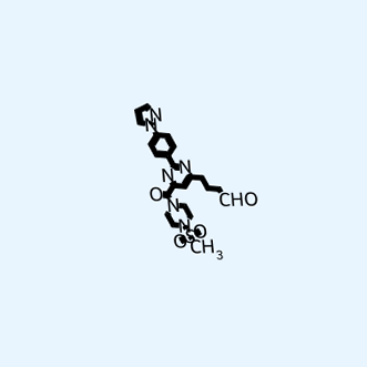 CS(=O)(=O)N1CCN(C(=O)c2cc(CCCC=O)nc(-c3ccc(-n4cccn4)cc3)n2)CC1